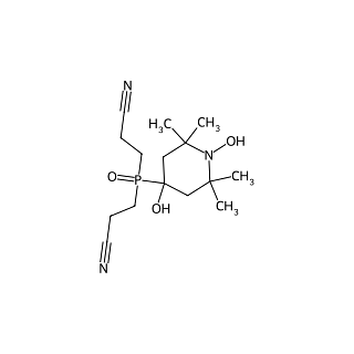 CC1(C)CC(O)(P(=O)(CCC#N)CCC#N)CC(C)(C)N1O